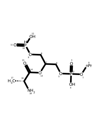 CCCOP(=O)(O)OCC(CO[PH](=O)O)OC(=O)[C@@H](C)N